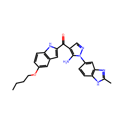 CCCCOc1ccc2[nH]c(C(=O)c3cnn(-c4ccc5[nH]c(C)nc5c4)c3N)cc2c1